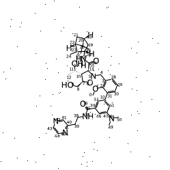 COc1c(CN2O[C@@H](CO)[C@H]([C@H](C)O)[C@H]2C(=O)N[C@H]2C[C@H]3C[C@@H]([C@@H]2C)C3(C)C)cccc1-c1cc(C(=O)NCCc2cnccn2)cc(N(C)C)c1